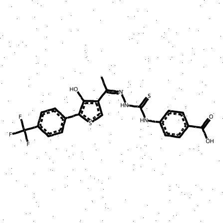 CC(=NNC(=S)Nc1ccc(C(=O)O)cc1)c1csc(-c2ccc(C(F)(F)F)cc2)c1O